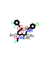 COC(=O)[C@@]1(OCc2cccc(F)c2F)C[C@H](OC(C)=O)[C@@H](NC(=O)CF)[C@H]([C@H](OC(C)=O)[C@@H](CNC(=O)c2ccc(Cl)cc2)OC(C)=O)O1